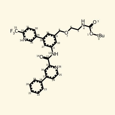 CC(C)(C)OC(=O)NCCOCc1cc(NC(=O)c2cc(-c3ccccc3)ccn2)cc(-c2ccc(C(F)(F)F)nc2)c1